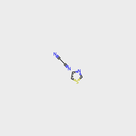 N#CC#N.c1cscn1